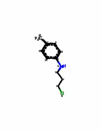 FC(F)(F)c1ccc(NCCCCl)cc1